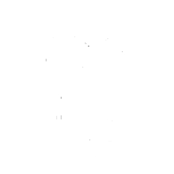 O=C(OC1CO[C@H]2OCC[C@@H]12)ON1C(=O)CCC1=O